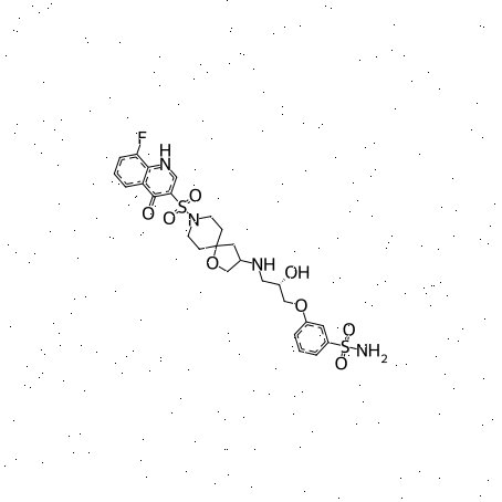 NS(=O)(=O)c1cccc(OC[C@@H](O)CNC2COC3(CCN(S(=O)(=O)c4c[nH]c5c(F)cccc5c4=O)CC3)C2)c1